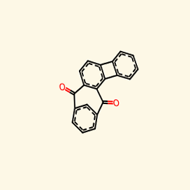 O=C1c2cccc(c2)C(=O)c2c1ccc1c2-c2ccccc2-1